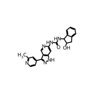 Cc1cc(-c2n[nH]c3cc(NC(=O)NC4c5ccccc5CC4O)ncc23)ccn1